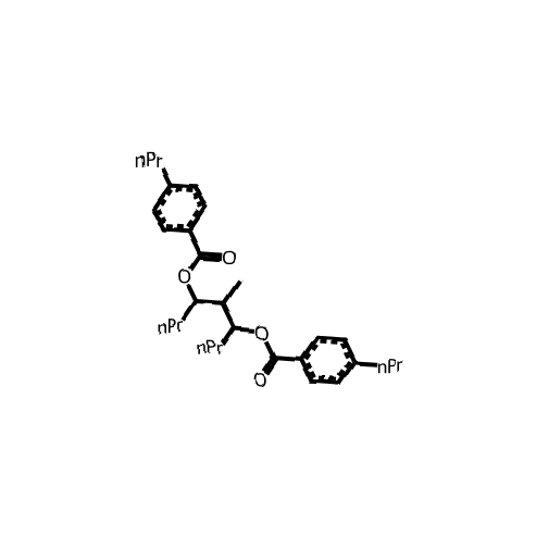 CCCc1ccc(C(=O)OC(CCC)C(C)C(CCC)OC(=O)c2ccc(CCC)cc2)cc1